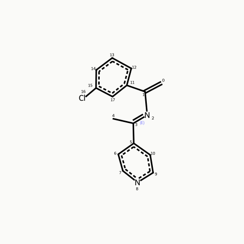 C=C(/N=C(\C)c1ccncc1)c1cccc(Cl)c1